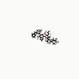 CC[C@H](C)[C@@H]([C@@H](CC(=O)N1CCC[C@H]1[C@H](OC)[C@@H](C)C(=O)N[C@H](CO)Cc1ccccc1)OC)N(C)C(=O)[C@@H](NC(=O)N1CCNC(=O)C1(C)C)C(C)C